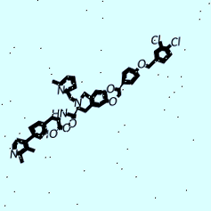 Cc1cccc(CN2Cc3cc4c(cc3C[C@H]2C(=O)NC(Cc2ccc(-c3ccnc(C)c3C)cc2)C(=O)O)OC[C@H](c2ccc(OCc3ccc(Cl)c(Cl)c3)cc2)O4)n1